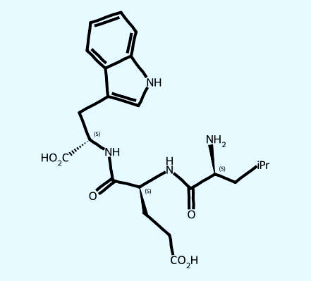 CC(C)C[C@H](N)C(=O)N[C@@H](CCC(=O)O)C(=O)N[C@@H](Cc1c[nH]c2ccccc12)C(=O)O